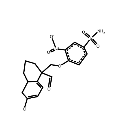 NS(=O)(=O)c1ccc(OCC2(C=O)CCCC3CC(Cl)=CC=C32)c([N+](=O)[O-])c1